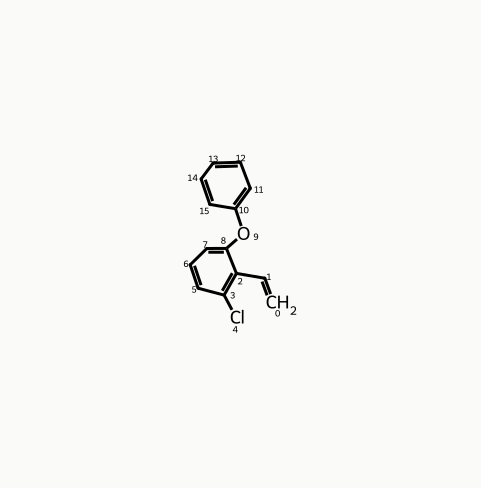 C=Cc1c(Cl)cccc1Oc1ccccc1